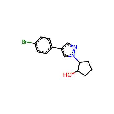 OC1CCCC1n1cc(-c2ccc(Br)cc2)cn1